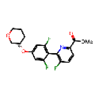 COC(=O)c1ccc(F)c(-c2c(F)cc(O[C@H]3CCCOC3)cc2F)n1